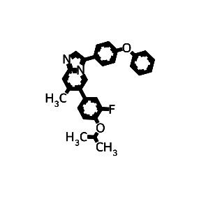 Cc1cc2ncc(-c3ccc(Oc4ccccc4)cc3)n2cc1-c1ccc(OC(C)C)c(F)c1